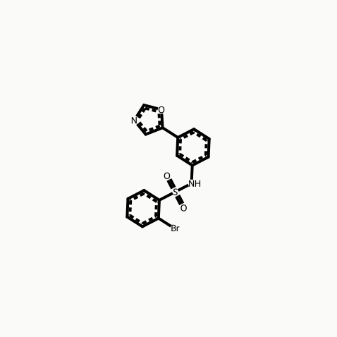 O=S(=O)(Nc1cccc(-c2cnco2)c1)c1ccccc1Br